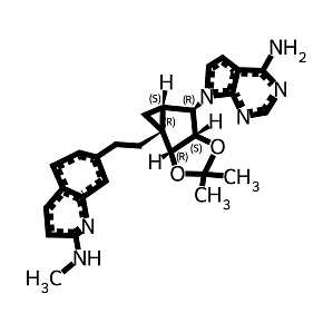 CNc1ccc2ccc(CC[C@@]34C[C@@H]3[C@@H](n3ccc5c(N)ncnc53)[C@@H]3OC(C)(C)O[C@@H]34)cc2n1